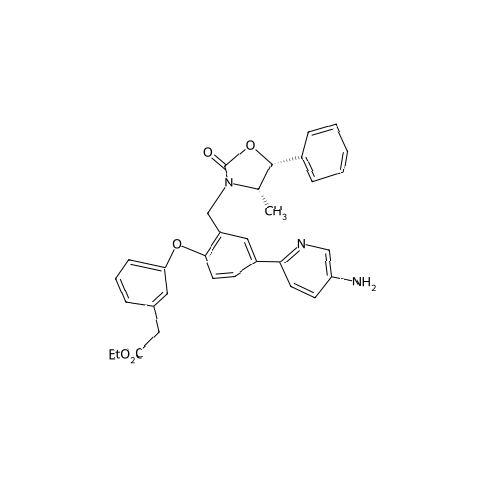 CCOC(=O)Cc1cccc(Oc2ccc(-c3ccc(N)cn3)cc2CN2C(=O)O[C@H](c3ccccc3)[C@@H]2C)c1